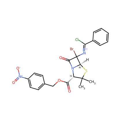 CC1(C)S[C@H]2N(C(=O)C2(Br)/N=C(\Cl)c2ccccc2)[C@H]1C(=O)OCc1ccc([N+](=O)[O-])cc1